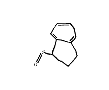 O=[S+]C1CCCc2ccccc21